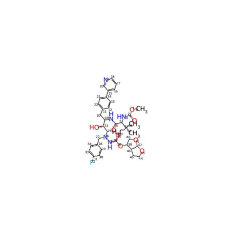 COC(=O)NC(C(=O)NC(Cc1ccc(-c2cccnc2)cc1)C(O)CN(Cc1ccc(F)cc1)NC(=O)OC1COC2OCCC12)C(C)(C)C